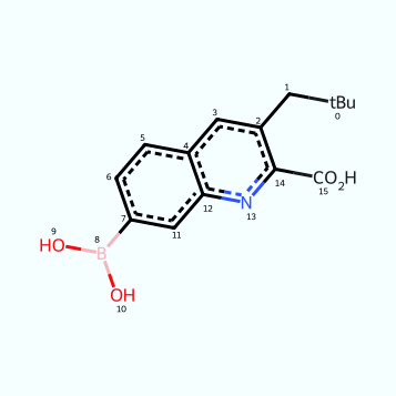 CC(C)(C)Cc1cc2ccc(B(O)O)cc2nc1C(=O)O